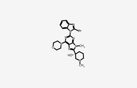 CC(C)c1nc2ccccc2n1-c1nc(N2CCOCC2)c2nc([C@@]3(O)CCCN(C)C3)n(C)c2n1